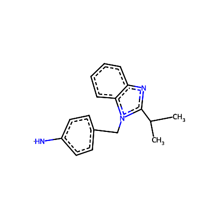 CC(C)c1nc2ccccc2n1Cc1ccc([NH])cc1